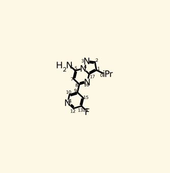 CC(C)c1cnn2c(N)cc(-c3cncc(F)c3)nc12